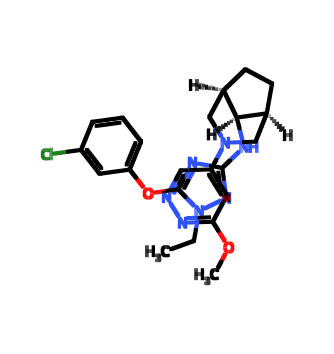 CCn1nc(N[C@H]2[C@@H]3CC[C@H]2CN(c2cnnc(OC)c2)C3)nc1Oc1cccc(Cl)c1